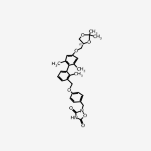 Cc1cc(OC[C@H]2COC(C)(C)O2)cc(C)c1-c1cccc(COc2ccc(Cn3oc(=O)[nH]c3=O)cc2)c1C